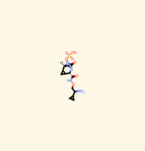 NC(CONC(=O)[C@@H]1C2CC2[C@@H]2CN1C(=O)N2OS(=O)(=O)O)C1CC1